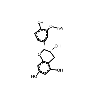 CCCOc1cc([C@H]2Oc3cc(O)cc(O)c3C[C@H]2O)ccc1O